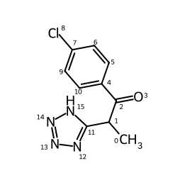 CC(C(=O)c1ccc(Cl)cc1)c1nnn[nH]1